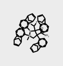 C[N+]1(c2cccc3c2C2C=CC3C2)CC(C(N)=O)(c2cccc3c2C2C=CC3C2)C(c2cccc3c2C2C=CC3C2)(C(F)F)N1c1cccc2c1C1C=CC2C1